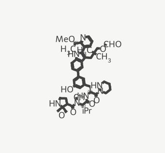 CO[C@@H](C)c1ncccc1-c1[nH]c2ccc(-c3cc(O)cc(C[C@H](NC(=O)[C@H](C(C)C)N(C)C(=O)C4CCNC45COC5)C(=O)N4CCCCN4)c3)cc2c1CC(C)(C)COC=O